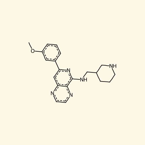 COc1cccc(-c2cc3nccnc3c(NCC3CCCNC3)n2)c1